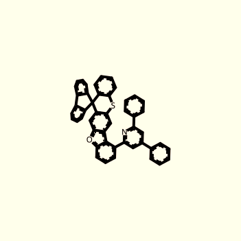 c1ccc(-c2cc(-c3ccccc3)nc(-c3cccc4oc5cc6c(cc5c34)Sc3ccccc3C63c4ccccc4-c4ccccc43)c2)cc1